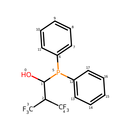 OC(C(C(F)(F)F)C(F)(F)F)P(c1ccccc1)c1ccccc1